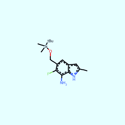 Cc1cc2cc(CO[Si](C)(C)C(C)(C)C)c(F)c(N)c2[nH]1